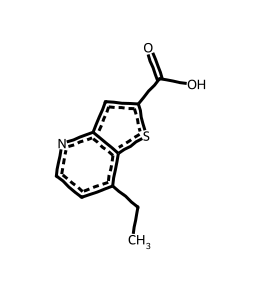 CCc1ccnc2cc(C(=O)O)sc12